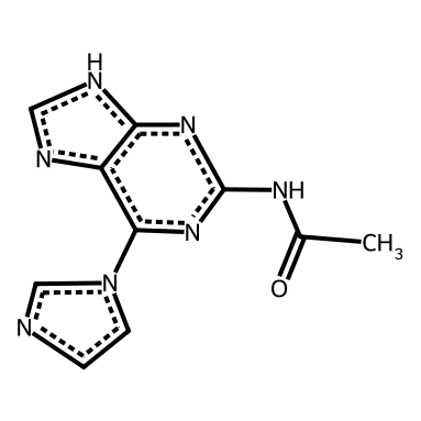 CC(=O)Nc1nc(-n2ccnc2)c2nc[nH]c2n1